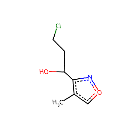 Cc1conc1C(O)CCCl